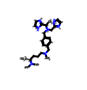 CCCN(CCC)[C@@H](CCCN(C)Cc1ccc(CN(Cc2ncc[nH]2)C(C)c2ncc[nH]2)cc1)C(=O)O